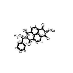 CCCCN1C(=O)c2ccc3c4c(ccc(c24)C1=O)C(=O)N(C(C)c1ccccc1)C3=O